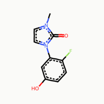 Cn1ccn(-c2cc(O)ccc2F)c1=O